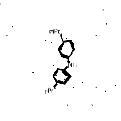 CCCc1ccc(Nc2ccc(CCC)cc2)cc1